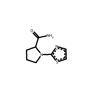 NC(=O)C1CCCN1c1nccs1